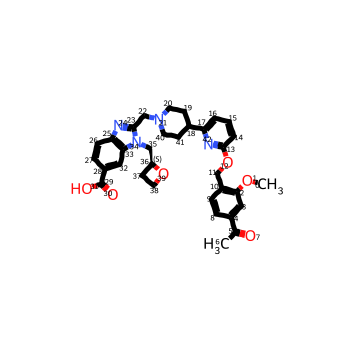 COc1cc(C(C)=O)ccc1COc1cccc(C2CCN(Cc3nc4ccc(C(=O)O)cc4n3C[C@@H]3CCO3)CC2)n1